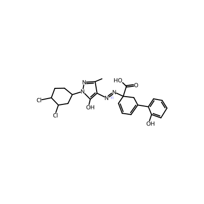 Cc1nn(C2CCC(Cl)C(Cl)C2)c(O)c1/N=N/C1(C(=O)O)C=CC=C(c2ccccc2O)C1